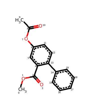 COC(=O)c1cc(OC(C)=O)ccc1-c1ccccc1